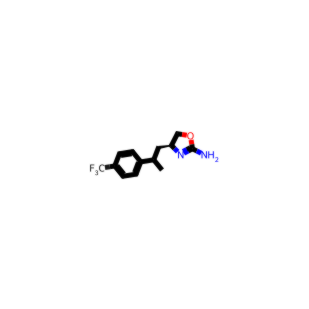 CC(C[C@H]1COC(N)=N1)c1ccc(C(F)(F)F)cc1